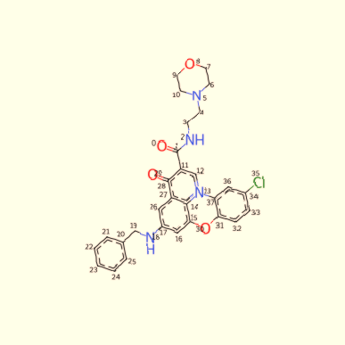 O=C(NCCN1CCOCC1)c1cn2c3c(cc(NCc4ccccc4)cc3c1=O)Oc1ccc(Cl)cc1-2